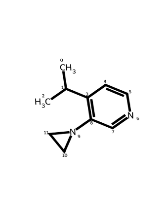 CC(C)c1ccncc1N1CC1